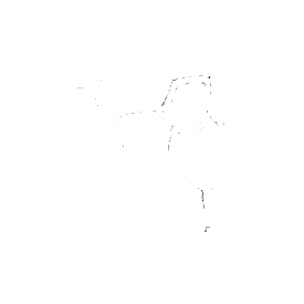 CC(C)CCn1nccc1B(O)O